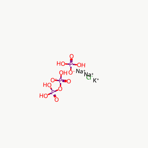 O=P([O-])(O)O.O=P([O-])(O)OP(=O)(O)O.[Cl-].[K+].[Na+].[Na+]